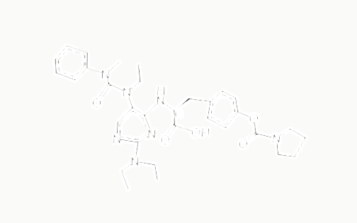 CCN(CC)c1ncc(N(CC)C(=O)N(C)c2ccccc2)c(N[C@@H](Cc2ccc(OC(=O)N3CCCC3)cc2)C(=O)O)n1